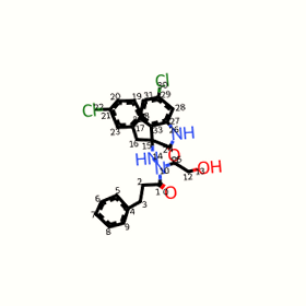 O=C(CCc1ccccc1)N(CCO)NC1(Cc2cccc(Cl)c2)C(=O)Nc2cc(Cl)ccc21